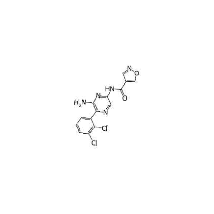 Nc1nc(NC(=O)c2cnoc2)cnc1-c1cccc(Cl)c1Cl